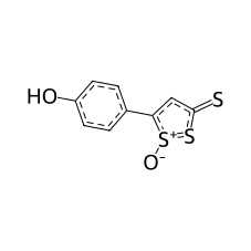 [O-][s+]1sc(=S)cc1-c1ccc(O)cc1